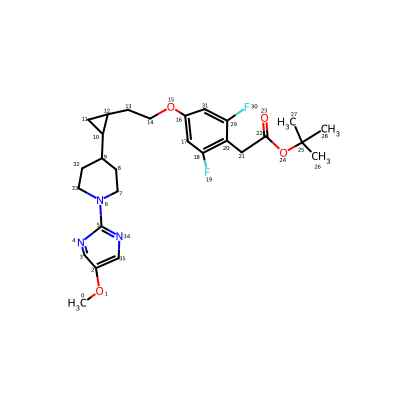 COc1cnc(N2CCC(C3CC3CCOc3cc(F)c(CC(=O)OC(C)(C)C)c(F)c3)CC2)nc1